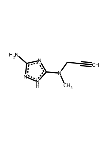 C#CCN(C)c1nc(N)n[nH]1